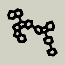 c1ccc(-c2ccc(-n3c4ccccc4c4cc(-c5ccc6c(c5)c5c7c(ccc5n6-c5cccc6ccccc56)sc5ccccc57)ccc43)cc2)cc1